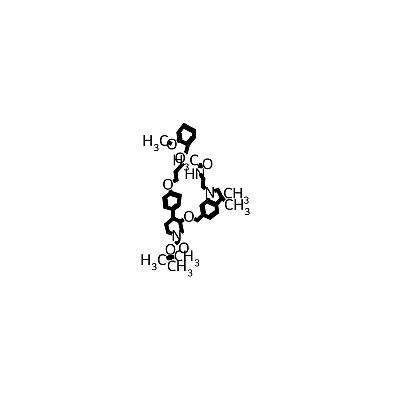 COc1ccccc1COCCCOc1ccc(C2CCN(C(=O)OC(C)(C)C)CC2OCc2ccc3c(c2)N(CCNC(C)=O)CC3(C)C)cc1